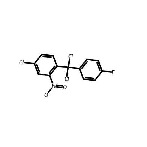 O=[N+]([O-])c1cc(Cl)ccc1C(Cl)(Cl)c1ccc(F)cc1